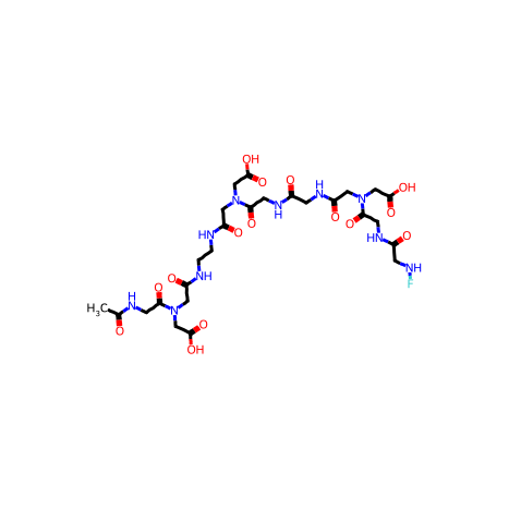 CC(=O)NCC(=O)N(CC(=O)O)CC(=O)NCCNC(=O)CN(CC(=O)O)C(=O)CNC(=O)CNC(=O)CN(CC(=O)O)C(=O)CNC(=O)CNF